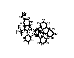 FC(F)(F)c1c(-c2ccccc2-c2nnn(C(c3ccccc3)(c3ccccc3)c3ccccc3)n2)oc2ccc(CBr)cc12